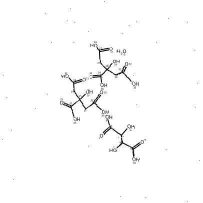 O.O=C(O)C(O)C(O)C(=O)O.O=C(O)CC(O)(CC(=O)O)C(=O)O.O=C(O)CC(O)(CC(=O)O)C(=O)O